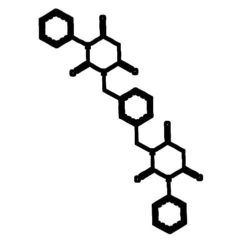 O=C1CC(=O)N(c2ccccc2)C(=O)N1Cc1cccc(CN2C(=O)CC(=O)N(c3ccccc3)C2=O)c1